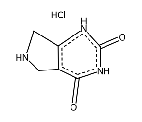 Cl.O=c1[nH]c2c(c(=O)[nH]1)CNC2